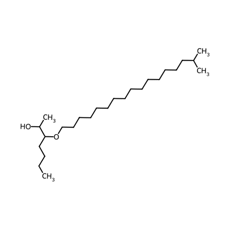 CCCCC(OCCCCCCCCCCCCCCCC(C)C)C(C)O